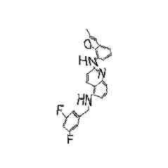 Cc1cc2cccc(Nc3ccc4c(NCc5cc(F)cc(F)c5)cccc4n3)c2o1